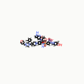 Cc1ccccc1[C@@H]1CN(CC2CCOCC2)CCN1C1CC2(CCN(c3ccc(C(=O)NS(=O)(=O)c4ccc(NCC5CCC(C)(O)CC5)c([N+](=O)[O-])c4)c(N4c5cc6cc[nH]c6nc5O[C@H]5COCC[C@@H]54)c3)CC2)C1